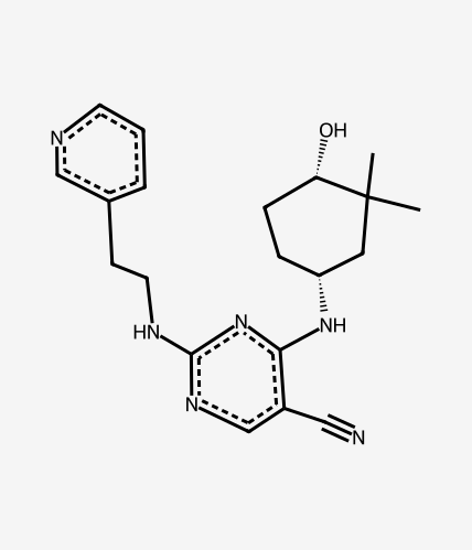 CC1(C)C[C@H](Nc2nc(NCCc3cccnc3)ncc2C#N)CC[C@@H]1O